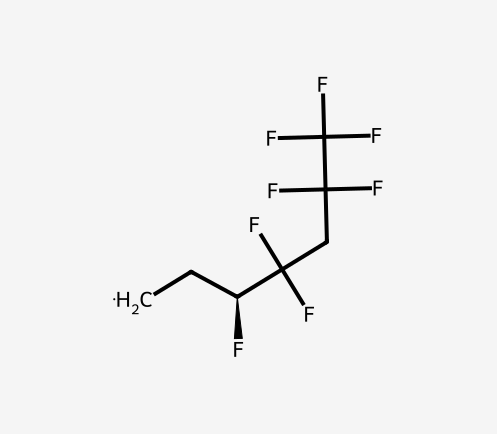 [CH2]C[C@H](F)C(F)(F)CC(F)(F)C(F)(F)F